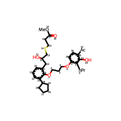 CCCc1c(OCCCOc2c(CC(O)CSCCC(=O)OC)cccc2C2CCCC2)ccc(C(C)=O)c1O